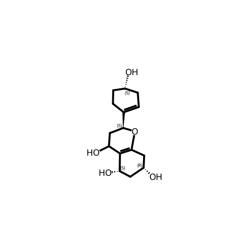 OC1C[C@@H](C2=CC[C@@H](O)CC2)OC2=C1[C@@H](O)C[C@@H](O)C2